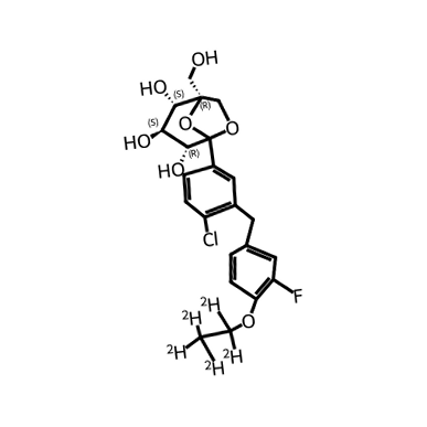 [2H]C([2H])([2H])C([2H])([2H])Oc1ccc(Cc2cc(C34OC[C@@](CO)(O3)[C@@H](O)[C@H](O)[C@H]4O)ccc2Cl)cc1F